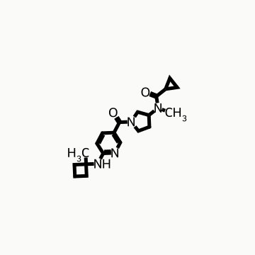 CN(C(=O)C1CC1)C1CCN(C(=O)c2ccc(NC3(C)CCC3)nc2)C1